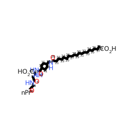 CCCOCCNC(=O)CNC(NC(=O)C1CCC(CNC(=O)CCCCCCCCCCCCCCCCCCC(=O)O)CC1)C(=O)O